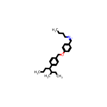 CCCC/N=C\c1ccc(OCc2ccc(C(CCC)C(C)CC)cc2)cc1